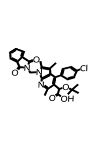 Cc1nc2c(c(C)c(C)n2CN2C(=O)c3ccccc3C2=O)c(-c2ccc(Cl)cc2)c1C(OC(C)(C)C)C(=O)O